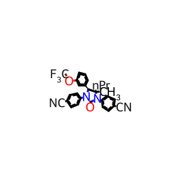 CCC[C@]1(C)[C@H](c2cccc(OC(F)(F)F)c2)N(c2ccc(C#N)cc2)C(=O)N1c1ccc(C#N)cc1